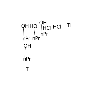 CCCO.CCCO.CCCO.CCCO.Cl.Cl.[Ti].[Ti]